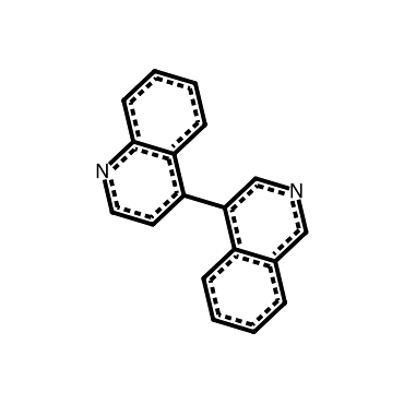 c1ccc2c(-c3ccnc4ccccc34)cncc2c1